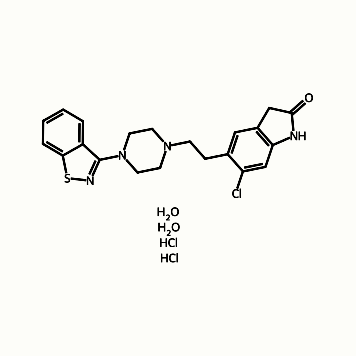 Cl.Cl.O.O.O=C1Cc2cc(CCN3CCN(c4nsc5ccccc45)CC3)c(Cl)cc2N1